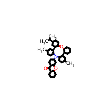 Cc1ccc2c(c1)-c1ccccc1Oc1ccc(C(C)C)cc1-c1cc(C)ccc1N2c1ccc2c(=O)c3ccccc3oc2c1